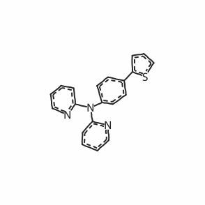 c1ccc(N(c2ccc(-c3cccs3)cc2)c2ccccn2)nc1